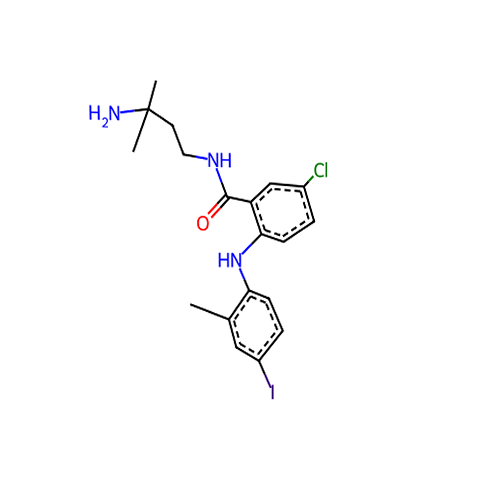 Cc1cc(I)ccc1Nc1ccc(Cl)cc1C(=O)NCCC(C)(C)N